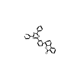 C/C=C\C(=C/C)c1nc(-c2ccccc2)nc(-c2cccc(-c3cccc4c3oc(=O)c3ccccc34)c2)n1